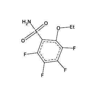 CCOc1c(F)c(F)c(F)c(F)c1S(N)(=O)=O